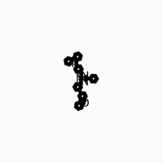 c1ccc(-c2nc(-c3ccc(-n4c5ccccc5c5ccccc54)cc3)nc(-c3cccc(-c4ccc5oc6ccccc6c5c4)c3)n2)cc1